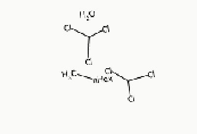 CCCCCCC.ClC(Cl)Cl.ClC(Cl)Cl.O